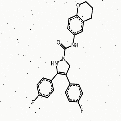 O=C(Nc1ccc2c(c1)CCCO2)N1CC(c2ccc(F)cc2)=C(c2ccc(F)cc2)N1